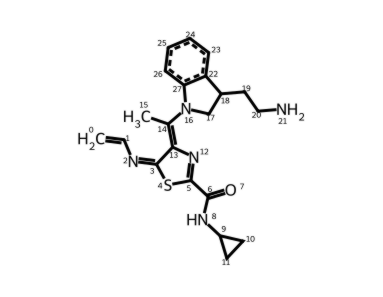 C=C/N=C1/SC(C(=O)NC2CC2)=N/C1=C(/C)N1CC(CCN)c2ccccc21